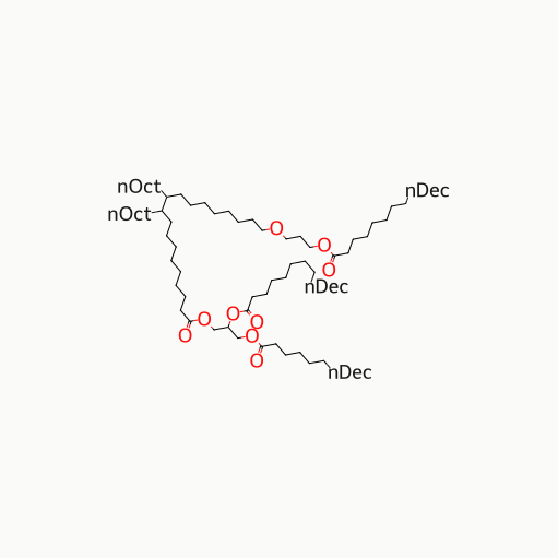 CCCCCCCCCCCCCCCCCC(=O)OCCCOCCCCCCCCC(CCCCCCCC)C(CCCCCCCC)CCCCCCCCC(=O)OCC(COC(=O)CCCCCCCCCCCCCCC)OC(=O)CCCCCCCCCCCCCCCCC